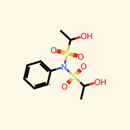 CC(O)S(=O)(=O)N(c1[c]cccc1)S(=O)(=O)C(C)O